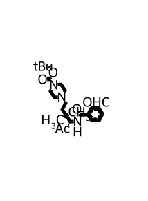 CC(=O)[C@@H](NC(=O)c1ccccc1C=O)C(C)(C)CCN1CCN(C(=O)OC(C)(C)C)CC1